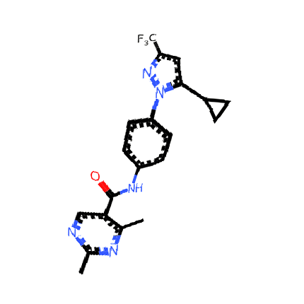 Cc1ncc(C(=O)Nc2ccc(-n3nc(C(F)(F)F)cc3C3CC3)cc2)c(C)n1